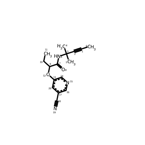 CC#CC(C)(C)NC(=O)C(CC)Oc1cncc(C#N)c1